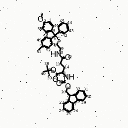 COc1ccc(C(SCCNC(=O)CCC(NC(=O)OCC2c3ccccc3-c3ccccc32)C(=O)OC(C)(C)C)(c2ccccc2)c2ccc(C)cc2)cc1